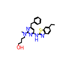 CCc1ccc2nc(Nc3cc(Cc4ccccc4)nc(N(C)CCCCO)n3)sc2c1